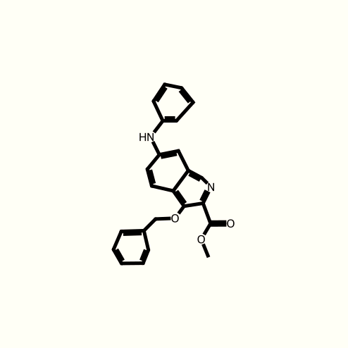 COC(=O)c1ncc2cc(Nc3ccccc3)ccc2c1OCc1ccccc1